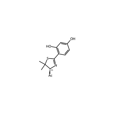 CC(=O)[C@@H]1N=C(c2ccc(O)cc2O)SC1(C)C